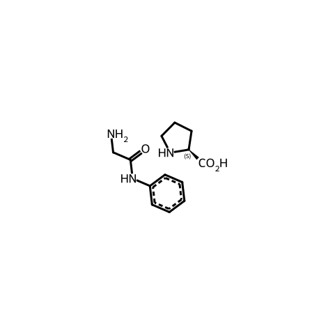 NCC(=O)Nc1ccccc1.O=C(O)[C@@H]1CCCN1